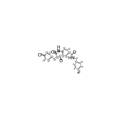 O=C(NCc1ccc(F)cc1)c1ccc2c(c1)C(=O)C(Cc1ccc(Cl)cc1)[S+]([O-])N2